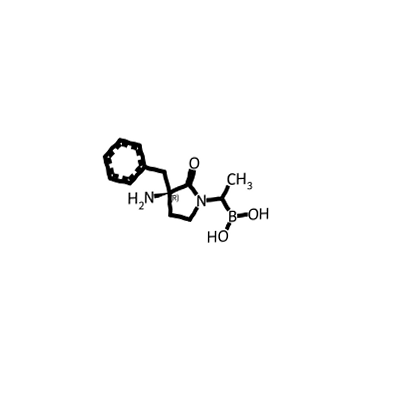 CC(B(O)O)N1CC[C@](N)(Cc2ccccc2)C1=O